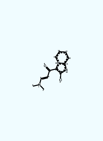 CN(C)C=CC(=O)c1c(Cl)nc2ccccn12